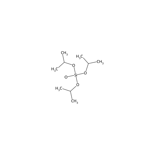 CC(C)O[Si]([O])(OC(C)C)OC(C)C